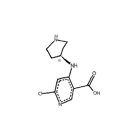 O=C(O)c1cnc(Cl)cc1N[C@H]1CCNC1